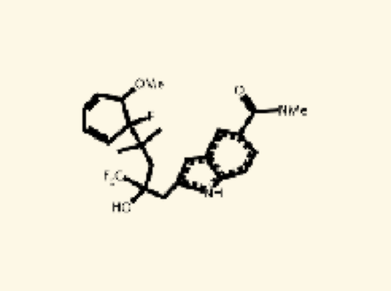 CNC(=O)c1ccc2[nH]c(CC(O)(CC(C)(C)C3(F)C=CC=CC3OC)C(F)(F)F)cc2c1